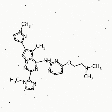 Cc1c(-c2ccn(C)n2)cn2nc(-c3nccn3C)nc(Nc3nccc(OCCN(C)C)n3)c12